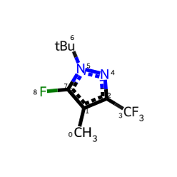 Cc1c(C(F)(F)F)nn(C(C)(C)C)c1F